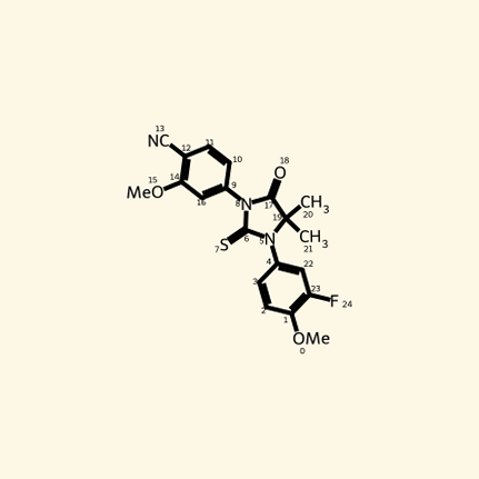 COc1ccc(N2C(=S)N(c3ccc(C#N)c(OC)c3)C(=O)C2(C)C)cc1F